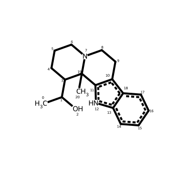 CC(O)C1CCCN2CCc3c([nH]c4ccccc34)C12C